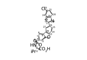 CC(C)[C@H](NS(=O)(=O)c1ccc2c(c1)oc1ccc(-c3nc4ccc(Cl)cc4s3)cc12)C(=O)O